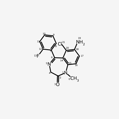 CN1C(=O)CN=C(c2ccccc2F)c2c1ccc(N)c2Cl